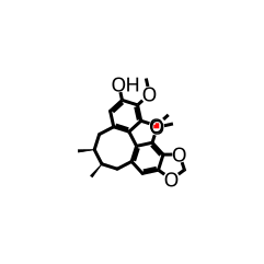 COc1c(O)cc2c(c1OC)-c1c(cc3c(c1OC)OCO3)C[C@@H](C)[C@@H](C)C2